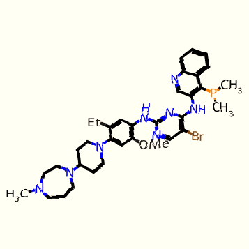 CCc1cc(Nc2ncc(Br)c(Nc3cnc4ccccc4c3P(C)C)n2)c(OC)cc1N1CCC(N2CCCN(C)CC2)CC1